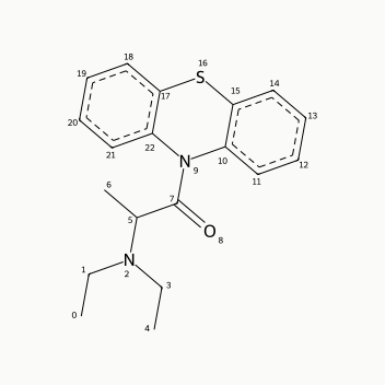 CCN(CC)C(C)C(=O)N1c2ccccc2Sc2ccccc21